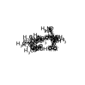 CCCCCCN(C(=O)[C@@H](NC(=O)C1(C)CCCN1C(=O)OCc1ccc(NC(=O)C(CCCNC(N)=O)NC(=O)C(NC(=O)OCC2c3ccccc3-c3ccccc32)C(C)C)cc1)[C@@H](C)CC)[C@H](C[C@@H](OC(C)=O)c1nc(C(=O)O)cs1)C(C)C